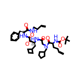 C=CCCNC(=O)[C@H](Cc1ccccc1)NC(=O)C(=O)[C@H](CC1CCC1)NC(=O)CN(CC1CCCC1)C(=O)C(CCC=C)NC(=O)OC(C)(C)C